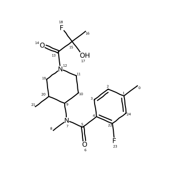 Cc1ccc(C(=O)N(C)C2CCN(C(=O)C(C)(O)F)CC2C)c(F)c1